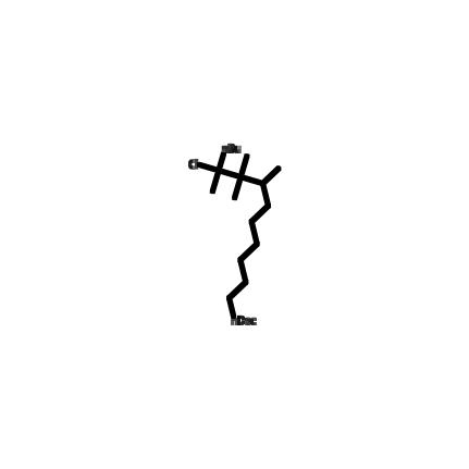 CCCCCCCCCCCCCCCCC(C)C(C)(C)C(C)(Cl)CCCC